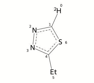 [2H]c1nnc(CC)s1